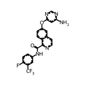 Nc1cc(Oc2ccc3c(C(=O)Nc4ccc(F)c(C(F)(F)F)c4)nccc3c2)ncn1